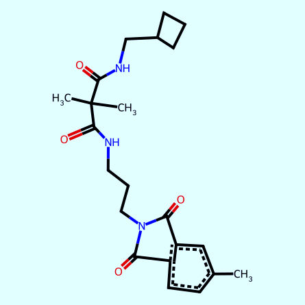 Cc1ccc2c(c1)C(=O)N(CCCNC(=O)C(C)(C)C(=O)NCC1CCC1)C2=O